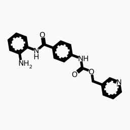 Nc1ccccc1NC(=O)c1ccc(NC(=O)OCc2cccnc2)cc1